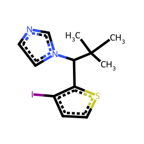 CC(C)(C)C(c1sccc1I)n1ccnc1